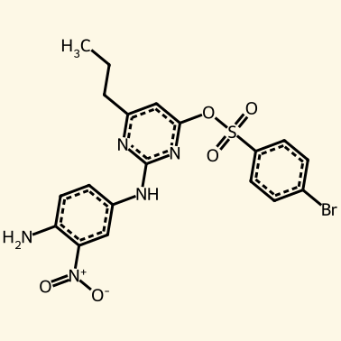 CCCc1cc(OS(=O)(=O)c2ccc(Br)cc2)nc(Nc2ccc(N)c([N+](=O)[O-])c2)n1